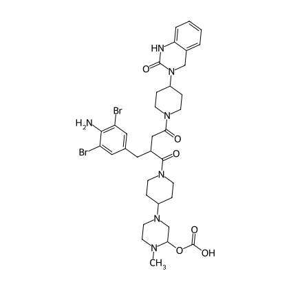 CN1CCN(C2CCN(C(=O)C(CC(=O)N3CCC(N4Cc5ccccc5NC4=O)CC3)Cc3cc(Br)c(N)c(Br)c3)CC2)CC1OC(=O)O